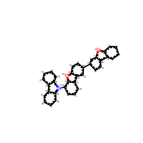 c1ccc2c(c1)oc1cc(-c3ccc4oc5c(-n6c7ccccc7c7ccccc76)cccc5c4c3)ccc12